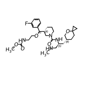 CNC[C@H](C[C@H]1CCC2(CC2)OC1)NC(=O)N1CCC[C@@H]([C@@H](OCCNC(=O)OC)c2cccc(F)c2)C1